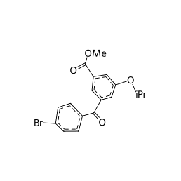 COC(=O)c1cc(OC(C)C)cc(C(=O)c2ccc(Br)cc2)c1